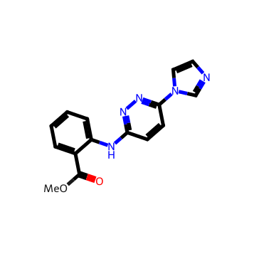 COC(=O)c1ccccc1Nc1ccc(-n2ccnc2)nn1